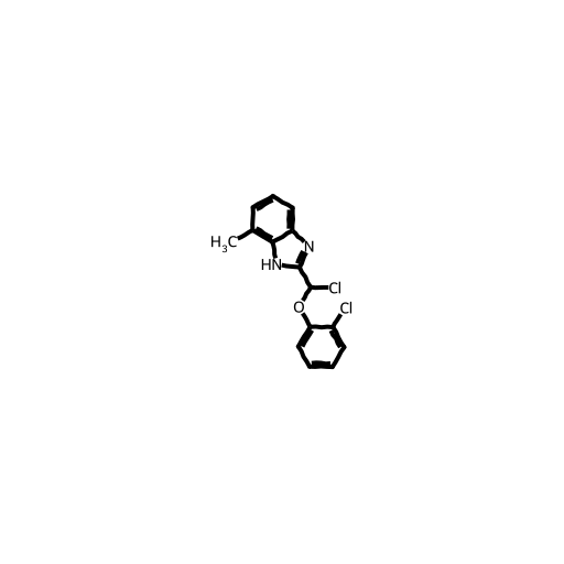 Cc1cccc2nc(C(Cl)Oc3ccccc3Cl)[nH]c12